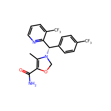 CC1=C(C(N)=O)OCN1[C@@H](c1ccc(C(F)(F)F)cc1)c1ncccc1C(F)(F)F